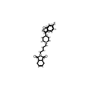 O=C1C2CC=CCC2C(=O)N1CCCCN1CCC(c2noc3cc(F)ccc23)CC1